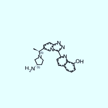 C[C@@H](c1ccc2nnc(-c3ccc4cccc(O)c4n3)n2c1)N1CC[C@H](N)C1